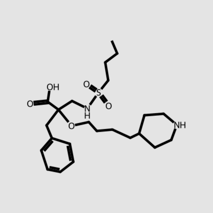 CCCCS(=O)(=O)NCC(Cc1ccccc1)(OCCCCC1CCNCC1)C(=O)O